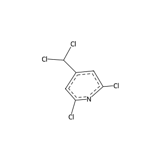 Clc1cc(C(Cl)Cl)cc(Cl)n1